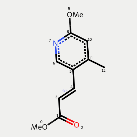 COC(=O)/C=C/c1cnc(OC)cc1C